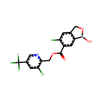 O=C(OCc1ncc(C(F)(F)F)cc1Cl)c1cc2c(cc1F)COB2O